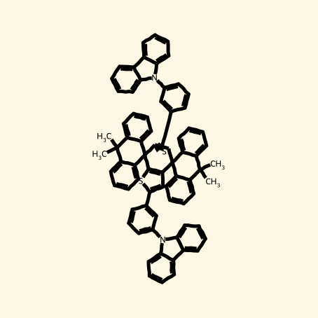 CC1(C)c2ccccc2C2(c3ccccc31)c1cc(-c3cccc(-n4c5ccccc5c5ccccc54)c3)sc1C1(c3ccccc3C(C)(C)c3ccccc31)c1cc(-c3cccc(-n4c5ccccc5c5ccccc54)c3)sc12